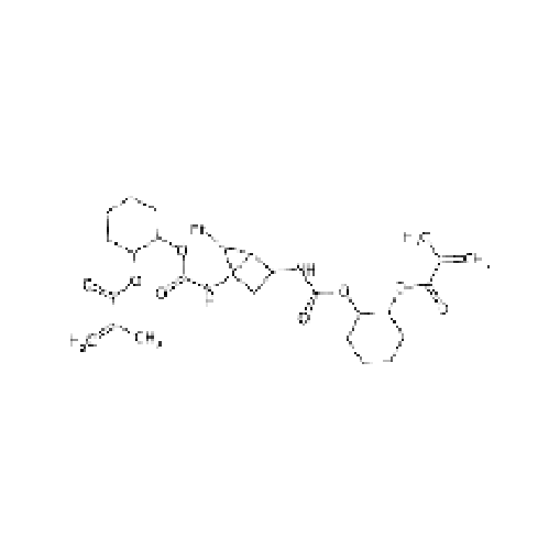 C=C(C)C(=O)OC1CCCCC1OC(=O)NC1CC2(NC(=O)OC3CCCCC3OC(=O)C(=C)C)C(CC)C12